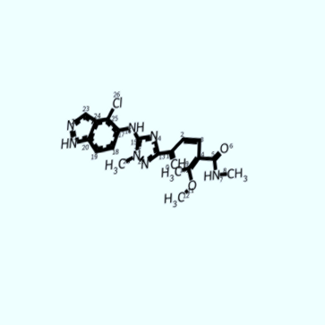 C=C(/C=C\C(C(=O)NC)=C(/C)OC)c1nc(Nc2ccc3[nH]ncc3c2Cl)n(C)n1